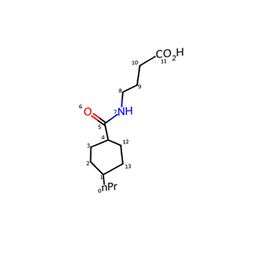 CCCC1CCC(C(=O)NCCCC(=O)O)CC1